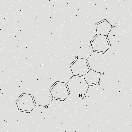 Nc1n[nH]c2c(-c3ccc4[nH]ccc4c3)ncc(-c3ccc(Oc4ccccc4)cc3)c12